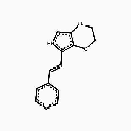 C(=Cc1[nH]cc2c1OCCO2)c1ccccc1